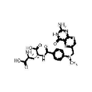 CN(Cc1cnc2nc(N)[nH]c(=O)c2n1)c1ccc(C(=O)N[C@H](CC(N)C(=O)O)C(=O)O)cc1